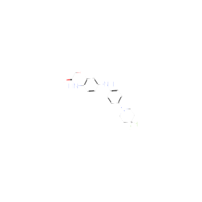 O=C1COc2cc(Nc3ccc(N4CCC(F)(F)CC4)cc3)ccc2N1